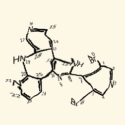 Brc1cncc(Br)c1-c1nc2c([nH]1)-c1ccncc1Nc1ncccc1-2